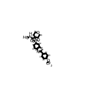 O=C(NO)C1(S(=O)(=O)c2ccc3nc(-c4ccc(OC(F)(F)F)cc4)sc3c2)CCOCC1